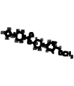 COCc1ccc(N2CCC(OC(=O)N3CCN(C4CCC4)CC3)CC2)cn1